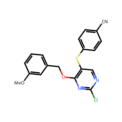 COc1cccc(COc2nc(Cl)ncc2Sc2ccc(C#N)cc2)c1